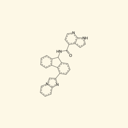 O=C(NC1c2ccccc2-c2c(-c3cn4ccccc4n3)cccc21)c1ccnc2[nH]ccc12